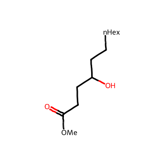 CCCCCCCCC(O)CCC(=O)OC